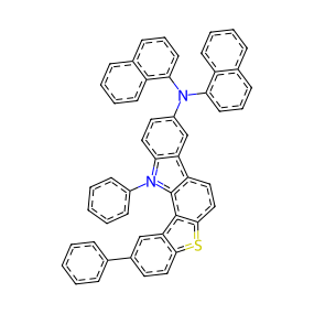 c1ccc(-c2ccc3sc4ccc5c6cc(N(c7cccc8ccccc78)c7cccc8ccccc78)ccc6n(-c6ccccc6)c5c4c3c2)cc1